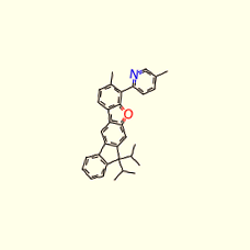 Cc1ccc(-c2c(C)ccc3c2oc2cc4c(cc23)-c2ccccc2C4(C(C)C)C(C)C)nc1